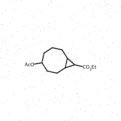 CCOC(=O)C1C2CCCC(OC(C)=O)CCC21